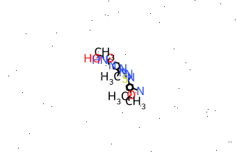 Cc1c2c(nn1-c1nnc(-c3ccc(OC(C)C)c(C#N)c3)s1)CCN(CC(=O)NC[C@@H](C)O)C2